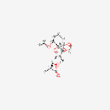 CC1=COC1=O.CCCC1(OC)C(OCC)CCC[Si]1(OC)OC